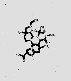 C=COCC1(C)CCN(c2c([C@H](OC(C)(C)C)C(=O)OC)c(C)cc3nc(C(=O)O)cn23)CC1